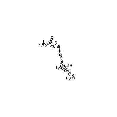 CNC(=O)N1CCc2c(c(N3CCCc4cc(-c5cnn(CCNC(=O)COCCOCCOCC(=O)/N=C(/C(=O)N6C[C@H](O)CC6C(=O)NCc6ccc(-c7scnc7C)cc6)C(C)(C)C)c5)c(C(F)F)cc43)nn2C2CCOCC2)C1